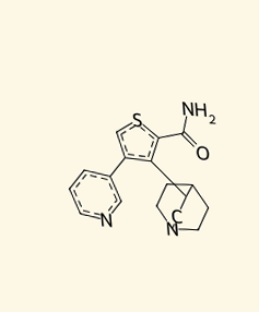 NC(=O)c1scc(-c2cccnc2)c1C1CN2CCC1CC2